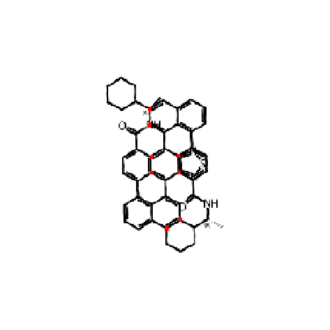 C[C@@H](NC(=O)c1ccc(-c2cccc3cccc(-c4ccc(-c5cccc6cccc(-c7ccc(C(=O)N[C@H](C)C8CCCCC8)cc7)c56)c5nsnc45)c23)cc1)C1CCCCC1